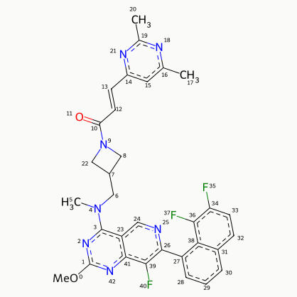 COc1nc(N(C)CC2CN(C(=O)/C=C/c3cc(C)nc(C)n3)C2)c2cnc(-c3cccc4ccc(F)c(F)c34)c(F)c2n1